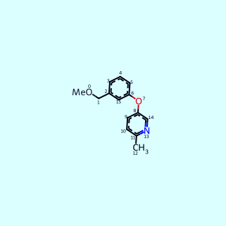 COCc1cccc(Oc2ccc(C)nc2)c1